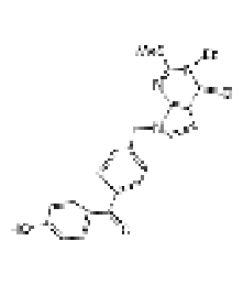 CCn1c(SC)nc2c(ccn2Cc2ccc(C(=O)c3ccc(O)cc3)cc2)c1=O